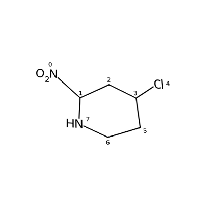 O=[N+]([O-])C1CC(Cl)CCN1